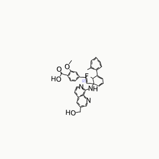 COc1cc(/C(F)=C/C2(Nc3nccc4cc(CO)cnc34)C=CC=C(c3ccccc3C)C2C)ccc1C(=O)O